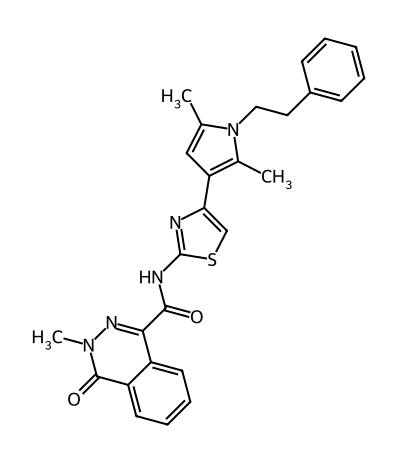 Cc1cc(-c2csc(NC(=O)c3nn(C)c(=O)c4ccccc34)n2)c(C)n1CCc1ccccc1